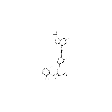 Cc1cc(C#Cc2ccc(OCc3c(-c4c(Cl)cccc4Cl)noc3C3CC3)cc2Cl)c2ccn(C(C)(C)C)c2c1